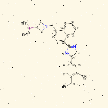 CCCP(CCC)C1CN(Cc2ccc(C3=NCC(c4ccc(CC(C)C)c(C#N)c4)=N3)c3ccccc23)C1